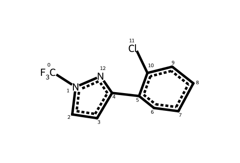 FC(F)(F)n1ccc(-c2ccccc2Cl)n1